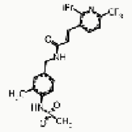 Cc1cc(CNC(=O)/C=C/c2ccc(C(F)(F)F)nc2C(C)C)ccc1NS(C)(=O)=O